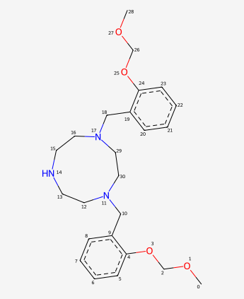 COCOc1ccccc1CN1CCNCCN(Cc2ccccc2OCOC)CC1